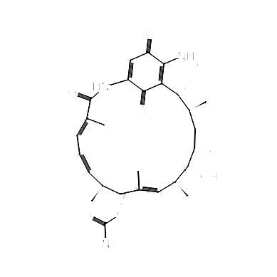 C/C1=C\C=C/[C@H](C)[C@@H](OC(N)=O)/C(C)=C/[C@H](C)[C@@H](O)[C@@H](C)C[C@H](C)CC2=C(N)C(=O)C=C(NC1=O)C2=O